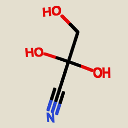 N#CC(O)(O)CO